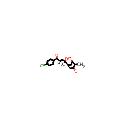 CC1C(=O)CC2CC1OOC2(C)/C=C/C(=O)c1ccc(Cl)cc1